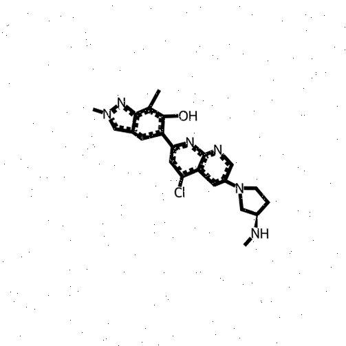 CN[C@@H]1CCN(c2cnc3nc(-c4cc5cn(C)nc5c(C)c4O)cc(Cl)c3c2)C1